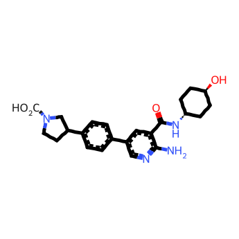 Nc1ncc(-c2ccc(C3CCN(C(=O)O)C3)cc2)cc1C(=O)N[C@H]1CC[C@H](O)CC1